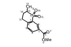 COC(=O)c1ccc2c(c1)S(=O)(=O)C(C)CC2